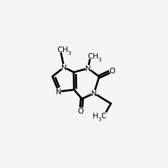 CCn1c(=O)c2ncn(C)c2n(C)c1=O